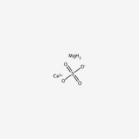 O=S(=O)([O-])[O-].[Ca+2].[MgH2]